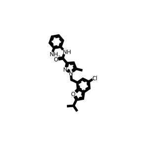 Cc1cc(C(=O)Nc2ccccc2N)nn1Cc1cc(Cl)cc2cc(C(C)C)oc12